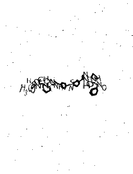 COC(=O)N[C@H](C(=O)N1CCC[C@H]1c1ncc(-c2ccc(-c3nc4ccc(-c5cnc([C@@H]6CCCN6C(=O)[C@H](NC=O)c6ccccc6)[nH]5)cc4s3)cc2)[nH]1)C(C)C